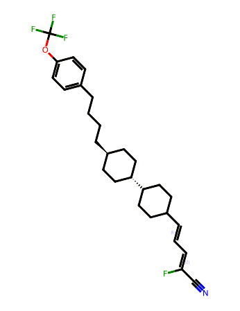 N#C/C(F)=C/C=C/C1CCC([C@H]2CC[C@H](CCCCc3ccc(OC(F)(F)F)cc3)CC2)CC1